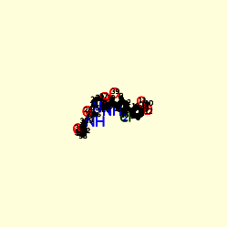 Cc1cc(-c2cccc(S(C)(=O)=O)c2)c(Cl)cc1C1=C(N)C2(CCCN(CC(=O)NCc3ccco3)C2)OC1=O